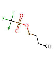 CCCSOS(=O)(=O)C(F)(F)F